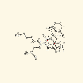 CC(C)C[C@H]1CCC[C@H](N2[C@@H]3CCC[C@H]2C[C@@H](n2c(=O)c(/C(CCC(=O)O)=N/OCCCN)nc4ccccc42)C3)C1